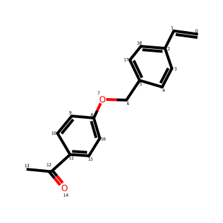 C=Cc1ccc(COc2ccc(C(C)=O)cc2)cc1